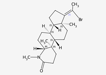 C/C(Br)=C1\CC[C@H]2[C@@H]3CC[C@H]4N(C)C(=O)CC[C@]4(C)[C@H]3CC[C@]12C